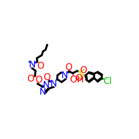 CCCCCC(=O)N(C)CCC(=O)OCc1ncc2n1C(=O)N(C1CCN(C(=O)[C@H](O)CS(=O)(=O)c3ccc4cc(Cl)ccc4c3)CC1)C2